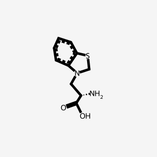 N[C@@H](CN1CSc2ccccc21)C(=O)O